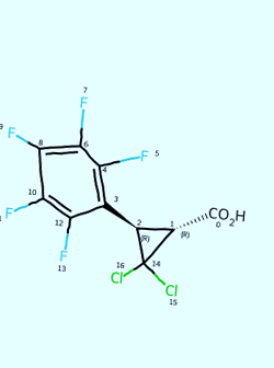 O=C(O)[C@H]1[C@H](c2c(F)c(F)c(F)c(F)c2F)C1(Cl)Cl